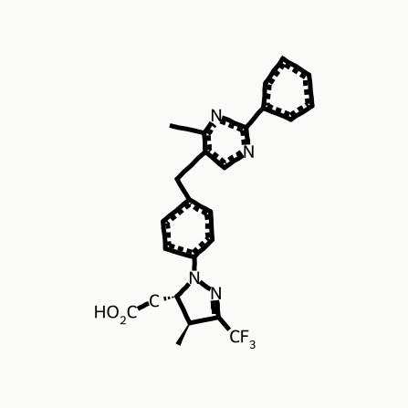 Cc1nc(-c2ccccc2)ncc1Cc1ccc(N2N=C(C(F)(F)F)[C@@H](C)[C@@H]2CC(=O)O)cc1